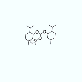 C[SiH2]OC(OC1CC(C)CCC1C(C)C)OC1CC(C)CCC1C(C)C